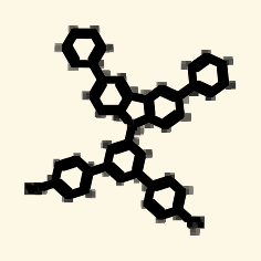 N#Cc1ccc(-c2cc(-c3ccc(C#N)cc3)cc(-n3c4ccc(-c5ccccc5)cc4c4cc(-c5ccccc5)ccc43)c2)cc1